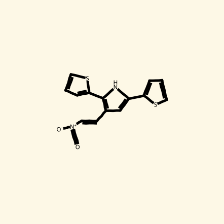 O=[N+]([O-])C=Cc1cc(-c2cccs2)[nH]c1-c1cccs1